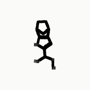 CCOC(O)c1cc2c([nH]1)C1CCC2C1